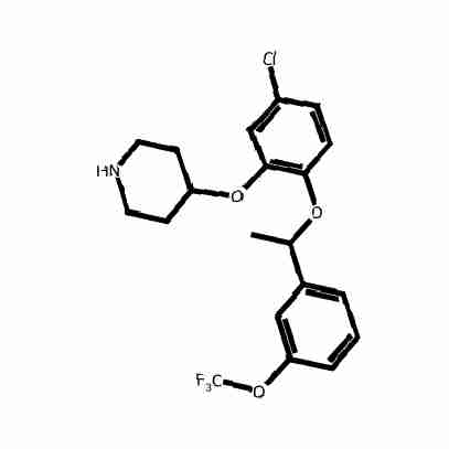 CC(Oc1ccc(Cl)cc1OC1CCNCC1)c1cccc(OC(F)(F)F)c1